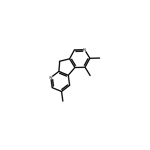 Cc1cnc2c(c1)-c1c(cnc(C)c1C)C2